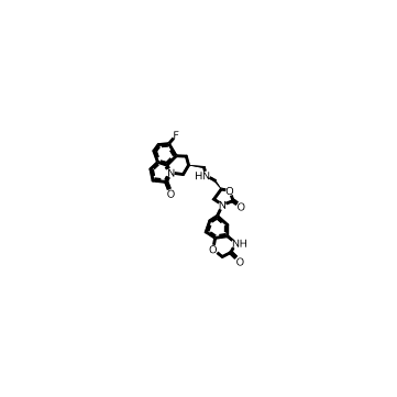 O=C1COc2ccc(N3C[C@@H](CNC[C@@H]4Cc5c(F)ccc6ccc(=O)n(c56)C4)OC3=O)cc2N1